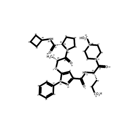 C[C@@H](Oc1cc(C(=O)N[C@@H](CCC(=O)O)C(=O)N2CCN(C(=O)O)CC2)nn1-c1ccccc1)C(=O)N1CCC[C@H]1C(=O)NC1CCC1